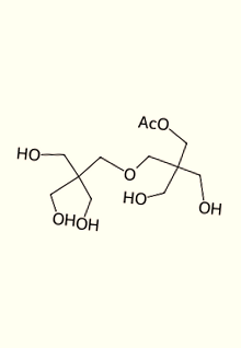 CC(=O)OCC(CO)(CO)COCC(CO)(CO)CO